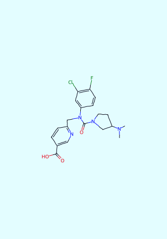 CN(C)C1CCN(C(=O)N(Cc2ccc(C(=O)O)cn2)c2ccc(F)c(Cl)c2)C1